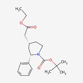 CCOC(=O)C[C@@H]1CCN(C(=O)OC(C)(C)C)[C@H](c2ccccc2)C1